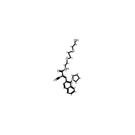 N#C/C(=C\c1ccc2ccccc2c1N1CCCC1)C(=O)NCCOCCOCCO